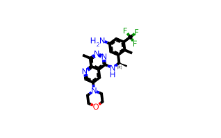 Cc1c([C@@H](C)Nc2nnc(C)c3ncc(N4CCOCC4)cc23)cc(N)cc1C(F)(F)F